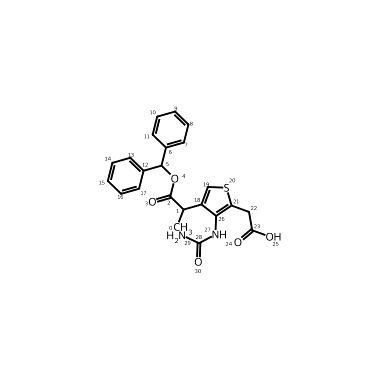 CC(C(=O)OC(c1ccccc1)c1ccccc1)c1csc(CC(=O)O)c1NC(N)=O